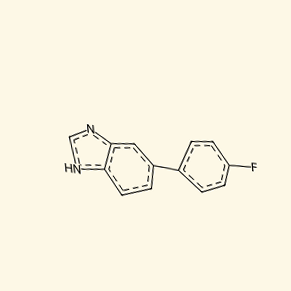 Fc1ccc(-c2ccc3[nH]cnc3c2)cc1